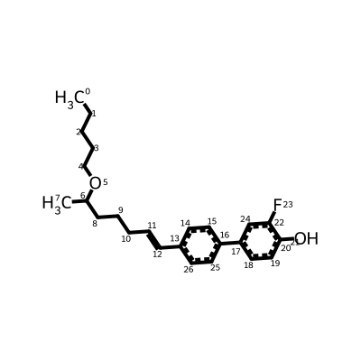 CCCCCOC(C)CCCC=Cc1ccc(-c2ccc(O)c(F)c2)cc1